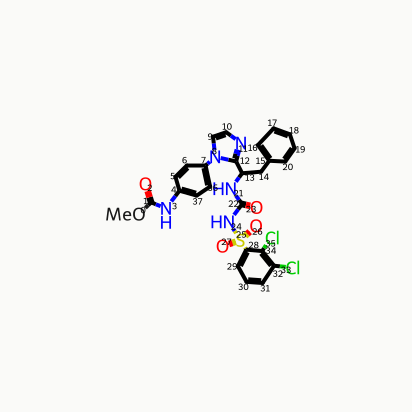 COC(=O)Nc1ccc(-n2ccnc2C(Cc2ccccc2)NC(=O)NS(=O)(=O)c2cccc(Cl)c2Cl)cc1